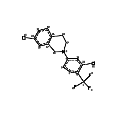 FC(F)(F)c1ccc(N2CCc3ccc(Cl)cc3C2)cc1Cl